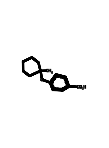 CC1(Oc2ccc(C(=O)O)cc2)CCCCC1